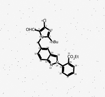 CCCCc1nc(Cl)c(C=O)n1Cc1ccc2nn(-c3ccccc3C(=O)OCC)cc2c1